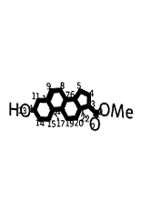 COC(=O)C1CCC2C3CC=C4CC(O)CC[C@]4(C)C3CC[C@]12C